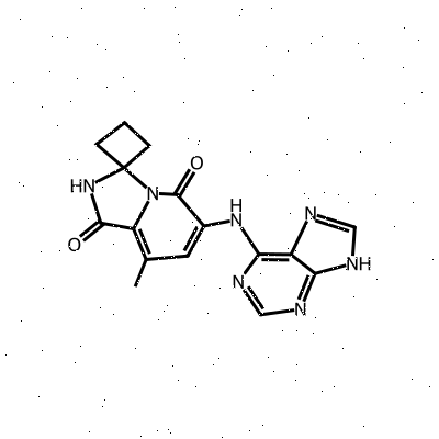 Cc1cc(Nc2ncnc3[nH]cnc23)c(=O)n2c1C(=O)NC21CCC1